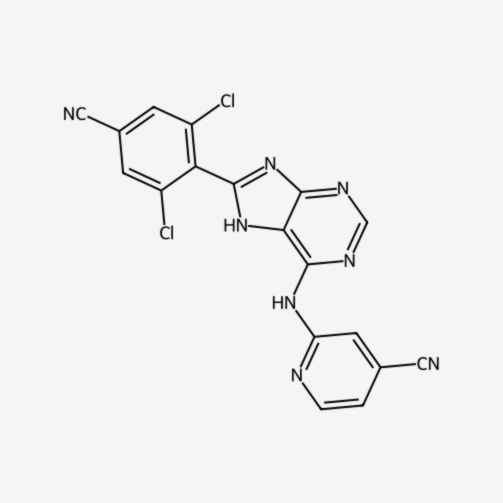 N#Cc1ccnc(Nc2ncnc3nc(-c4c(Cl)cc(C#N)cc4Cl)[nH]c23)c1